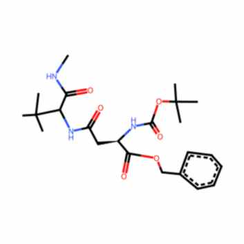 CNC(=O)C(NC(=O)C[C@@H](NC(=O)OC(C)(C)C)C(=O)OCc1ccccc1)C(C)(C)C